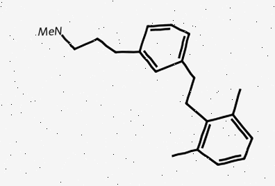 CNCCCc1cccc(CCc2c(C)cccc2C)c1